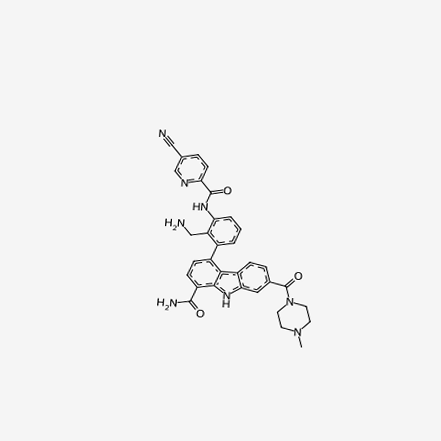 CN1CCN(C(=O)c2ccc3c(c2)[nH]c2c(C(N)=O)ccc(-c4cccc(NC(=O)c5ccc(C#N)cn5)c4CN)c23)CC1